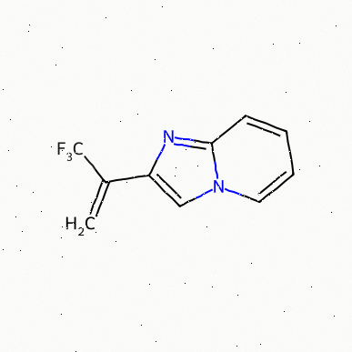 C=C(c1cn2ccccc2n1)C(F)(F)F